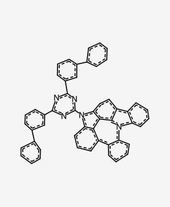 c1ccc(-c2cccc(-c3nc(-c4cccc(-c5ccccc5)c4)nc(-n4c5cccc6c7ccccc7n7c8ccccc8c8ccc4c(c65)c87)n3)c2)cc1